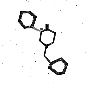 c1ccc(CN2CCN[C@@H](c3ccccc3)C2)cc1